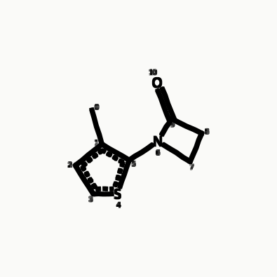 Cc1ccsc1N1CCC1=O